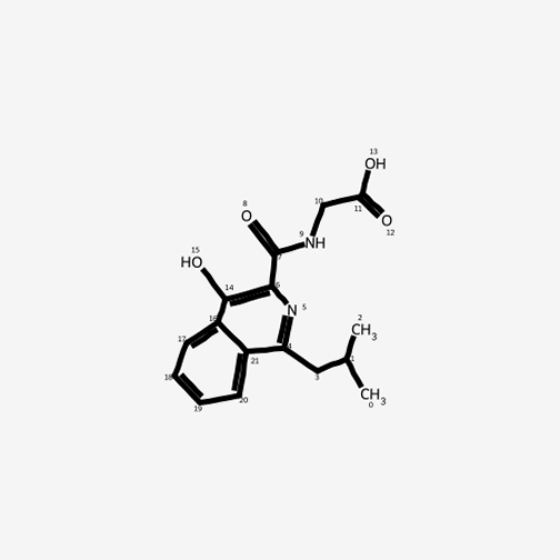 CC(C)Cc1nc(C(=O)NCC(=O)O)c(O)c2ccccc12